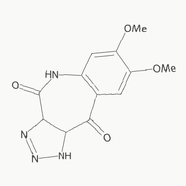 COc1cc2c(cc1OC)C(=O)C1NN=NC1C(=O)N2